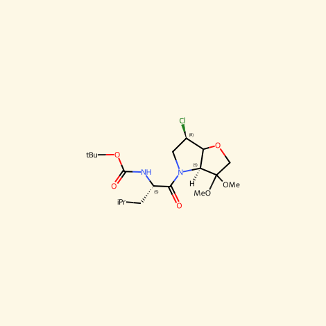 COC1(OC)COC2[C@H](Cl)CN(C(=O)[C@H](CC(C)C)NC(=O)OC(C)(C)C)[C@@H]21